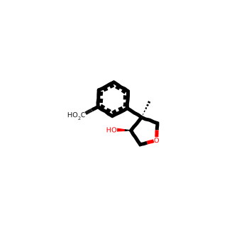 C[C@]1(c2cccc(C(=O)O)c2)COC[C@H]1O